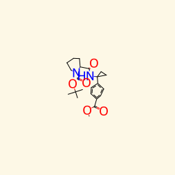 COC(=O)c1ccc(C2(NC(=O)C3CCCCN3C(=O)OC(C)(C)C)CC2)cc1